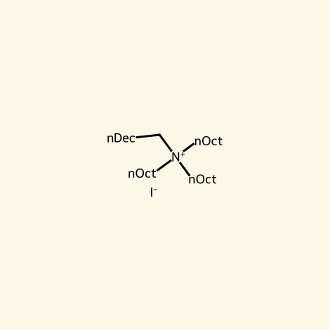 CCCCCCCCCCC[N+](CCCCCCCC)(CCCCCCCC)CCCCCCCC.[I-]